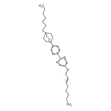 CCCCC/C=C/COc1cnc(-c2ccc(C34CCC(CCCCCCC)(CC3)CC4)cc2)nc1